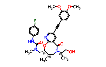 COc1ccc(C#Cc2cnc3c(c2)C(=O)N([C@H](C)CO)C[C@H](C)[C@H](CN(C)C(=O)Nc2ccc(F)cc2)O3)cc1OC